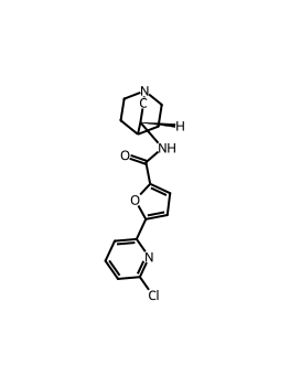 O=C(N[C@H]1CN2CCC1CC2)c1ccc(-c2cccc(Cl)n2)o1